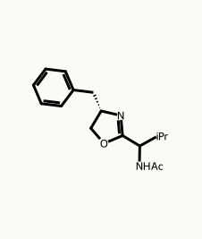 CC(=O)NC(C1=N[C@@H](Cc2ccccc2)CO1)C(C)C